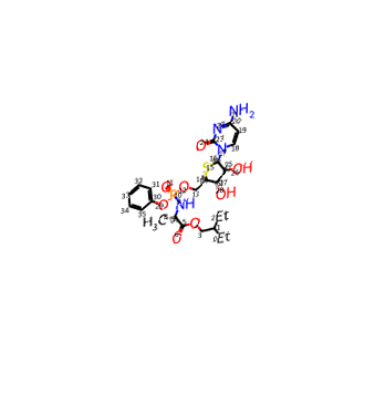 CCC(CC)COC(=O)[C@H](C)NP(=O)(OC[C@H]1S[C@@H](n2ccc(N)nc2=O)[C@@H](O)[C@@H]1O)Oc1ccccc1